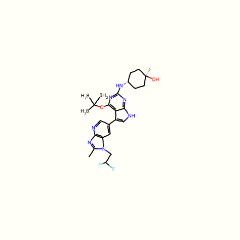 BC(B)(B)Oc1nc(N[C@H]2CC[C@](C)(O)CC2)nc2[nH]cc(-c3cnc4nc(C)n(CC(F)F)c4c3)c12